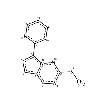 CSc1ncc2ccc(-c3ccccn3)n2n1